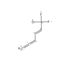 C=C=CC=CC(F)(F)Cl